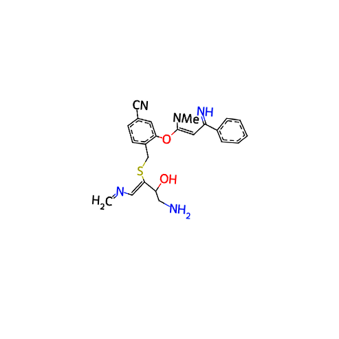 C=N/C=C(\SCc1ccc(C#N)cc1O/C(=C/C(=N)c1ccccc1)NC)C(O)CN